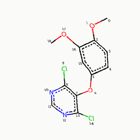 COc1ccc(Oc2c(Cl)ncnc2Cl)cc1OC